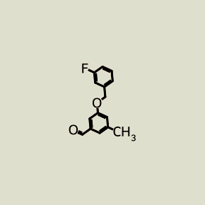 Cc1cc(C=O)cc(OCc2cccc(F)c2)c1